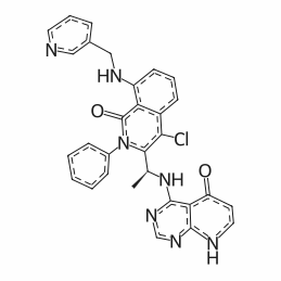 C[C@H](Nc1ncnc2[nH]ccc(=O)c12)c1c(Cl)c2cccc(NCc3cccnc3)c2c(=O)n1-c1ccccc1